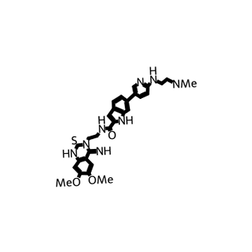 CNCCNc1ccc(-c2ccc3cc(C(=O)NCCn4c(=S)[nH]c5cc(OC)c(OC)cc5c4=N)[nH]c3c2)cn1